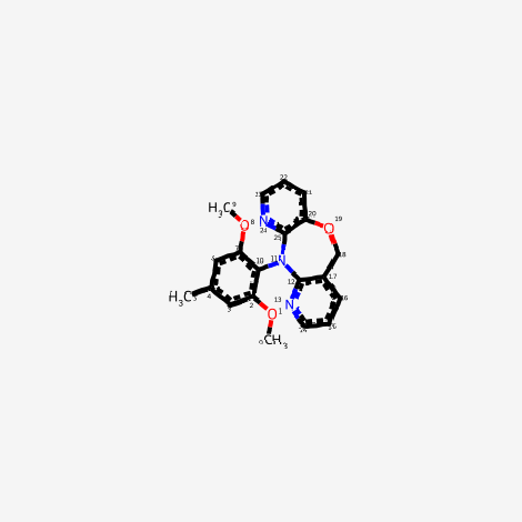 COc1cc(C)cc(OC)c1N1c2ncccc2COc2cccnc21